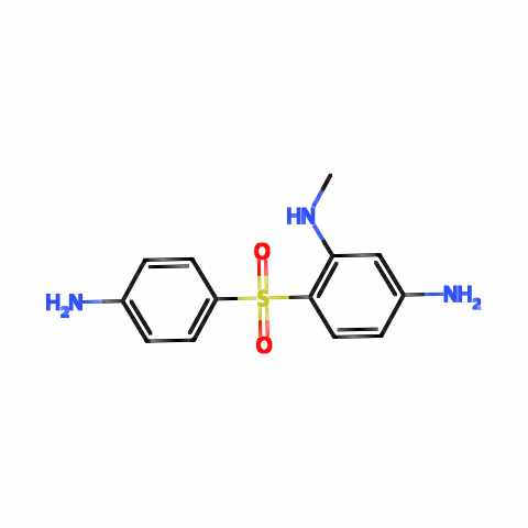 CNc1cc(N)ccc1S(=O)(=O)c1ccc(N)cc1